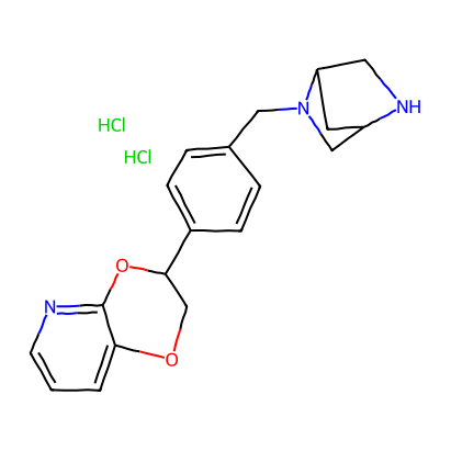 Cl.Cl.c1cnc2c(c1)OCC(c1ccc(CN3CC4CC3CN4)cc1)O2